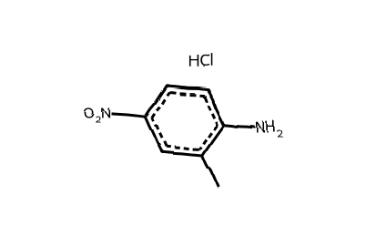 Cc1cc([N+](=O)[O-])ccc1N.Cl